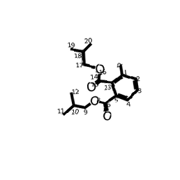 Cc1cccc(C(=O)OCC(C)C)c1C(=O)OCC(C)C